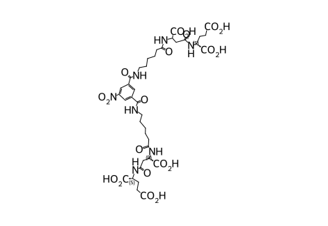 O=C(O)CC[C@H](NC(=O)CC(NC(=O)CCCCCNC(=O)c1cc(C(=O)NCCCCCC(=O)N[C@H](CC(=O)N[C@@H](CCC(=O)O)C(=O)O)C(=O)O)cc([N+](=O)[O-])c1)C(=O)O)C(=O)O